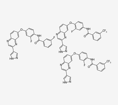 O=C(Nc1ccc(Oc2ccc3ncc(-c4cn[nH]c4)nc3c2)c(F)c1)c1cccc(C(F)(F)F)c1.O=C(Nc1ccc(Oc2ccc3ncc(-c4cn[nH]c4)nc3c2)cc1F)c1cccc(C(F)(F)F)c1.O=C(Nc1ccc(Oc2ccc3ncc(-c4cn[nH]c4)nc3c2)cc1F)c1cccc(F)c1